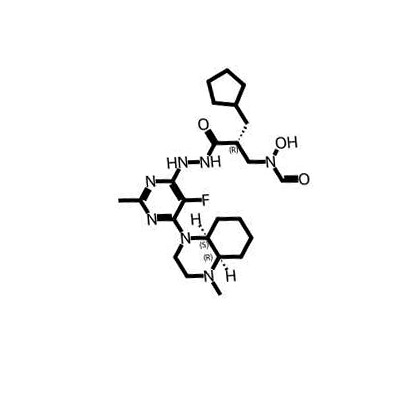 Cc1nc(NNC(=O)[C@H](CC2CCCC2)CN(O)C=O)c(F)c(N2CCN(C)[C@@H]3CCCC[C@@H]32)n1